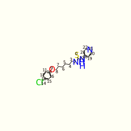 S=C(NCCCCCCOc1ccc(Cl)cc1)Nc1ccncc1